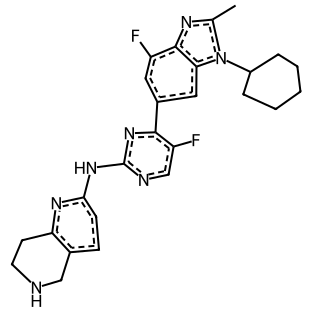 Cc1nc2c(F)cc(-c3nc(Nc4ccc5c(n4)CCNC5)ncc3F)cc2n1C1CCCCC1